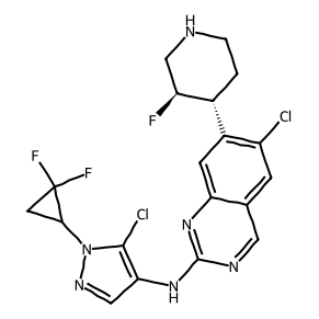 F[C@H]1CNCC[C@@H]1c1cc2nc(Nc3cnn(C4CC4(F)F)c3Cl)ncc2cc1Cl